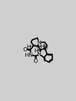 O=C1NC(=O)N2c3ccccc3[C@H]3CCN4CCC[C@H]1[C@H]4[C@H]32